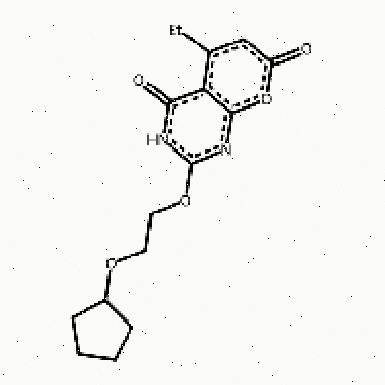 CCc1cc(=O)oc2nc(OCCOC3CCCC3)[nH]c(=O)c12